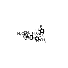 Cc1ncc(C2=CCN(C(=O)OC(C)(C)C)CC2)cc1OC(C)c1c(Cl)ccc(F)c1Cl